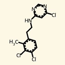 Cc1c(CCNc2cc(Cl)ncn2)ccc(Cl)c1Cl